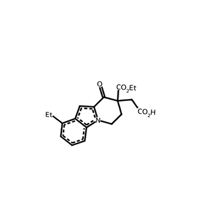 CCOC(=O)C1(CC(=O)O)CCn2c(cc3c(CC)cccc32)C1=O